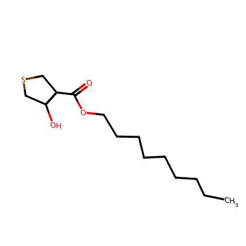 CCCCCCCCCOC(=O)C1CSCC1O